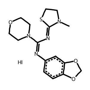 CN1CCSC1=NC(=Nc1ccc2c(c1)OCO2)N1CCOCC1.I